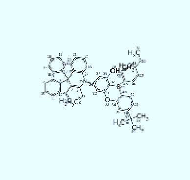 C=CC1=C(C=C)C(c2ccccc2)(c2ccccc2)c2ccccc2N1c1cc(O)c2c(c1)Oc1cc(C(C)(C)C)ccc1B2C(/C=C\C(C)CC)=C/C